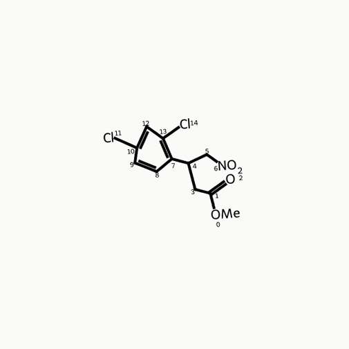 COC(=O)CC(C[N+](=O)[O-])c1ccc(Cl)cc1Cl